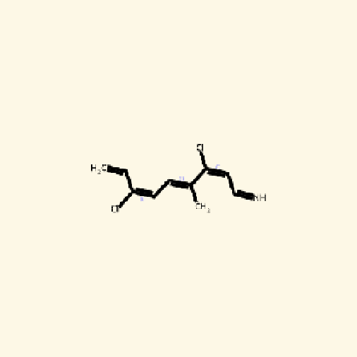 C=C\C(Cl)=C/C=C(C)/C(Cl)=C\C=N